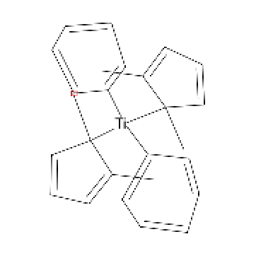 CC1=CC=C[C]1(C)[Ti]([c]1ccccc1)([c]1ccccc1)[C]1(C)C=CC=C1C